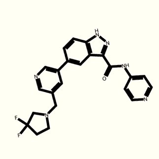 O=C(Nc1ccncc1)c1n[nH]c2ccc(-c3cncc(CN4CCC(F)(F)C4)c3)cc12